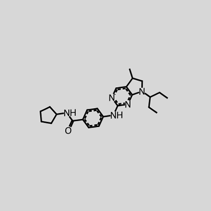 CCC(CC)N1CC(C)c2cnc(Nc3ccc(C(=O)NC4CCCC4)cc3)nc21